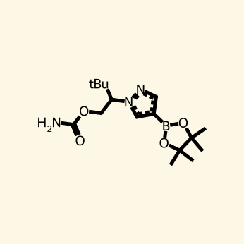 CC(C)(C)C(COC(N)=O)n1cc(B2OC(C)(C)C(C)(C)O2)cn1